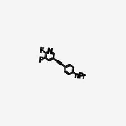 CCCc1ccc(C#Cc2cnc(F)c(F)c2)cc1